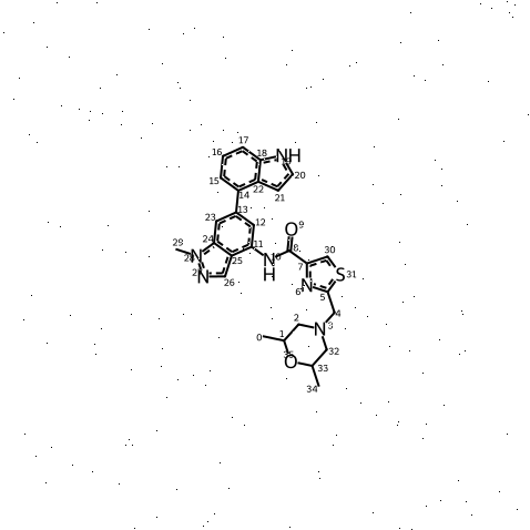 CC1CN(Cc2nc(C(=O)Nc3cc(-c4cccc5[nH]ccc45)cc4c3cnn4C)cs2)CC(C)O1